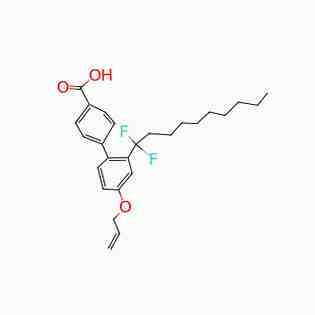 C=CCOc1ccc(-c2ccc(C(=O)O)cc2)c(C(F)(F)CCCCCCCCC)c1